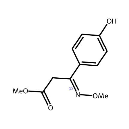 CO/N=C(/CC(=O)OC)c1ccc(O)cc1